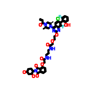 C=CC(=O)N1C[C@H](C)N(c2nc(OCCOCC(=O)NCCCNC(=O)COc3cccc4c3C(=O)N(C3CCC(=O)CC3=O)C4=O)nc3c(F)c(-c4c(O)cccc4F)c(Cl)cc23)C[C@H]1C